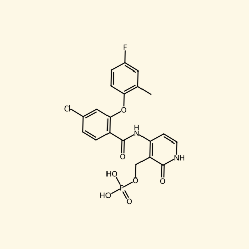 Cc1cc(F)ccc1Oc1cc(Cl)ccc1C(=O)Nc1cc[nH]c(=O)c1COP(=O)(O)O